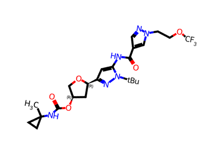 CC1(NC(=O)O[C@H]2CO[C@@H](c3cc(NC(=O)c4cnn(CCOC(F)(F)F)c4)n(C(C)(C)C)n3)C2)CC1